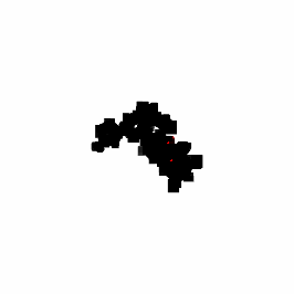 Cn1cc(-c2cn3ncc(C#N)c3c(-c3ccc(N4C[C@H]5C[C@@H](C4)C5NC(=O)O)nc3)n2)cn1